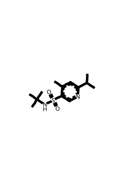 Cc1cc(C(C)C)ncc1S(=O)(=O)NC(C)(C)C